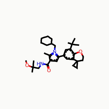 COC(C)(C)CNC(=O)c1cc(-c2cc(C(C)(C)C)c3c(c2)C2(CCO3)CC2)n(CC2CCCCC2)c1C